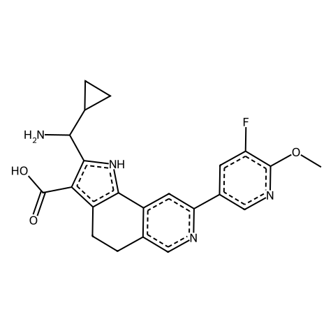 COc1ncc(-c2cc3c(cn2)CCc2c-3[nH]c(C(N)C3CC3)c2C(=O)O)cc1F